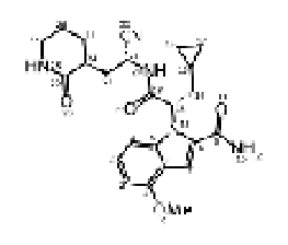 COc1cccc2c1cc(C(N)=O)n2[C@@H](CC1CC1)C(=O)N[C@@H](C#N)C[C@@H]1CCCNC1=O